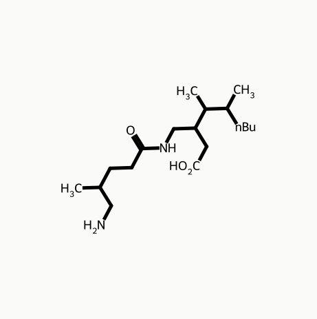 CCCCC(C)C(C)C(CNC(=O)CCC(C)CN)CC(=O)O